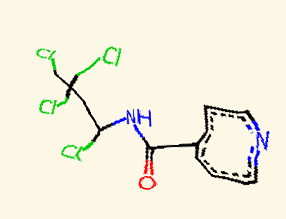 O=C(NC(Cl)C(Cl)(Cl)Cl)c1ccncc1